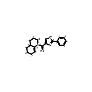 O=C(c1csc(-c2ccccc2)n1)N1CCCC2CCCC=C21